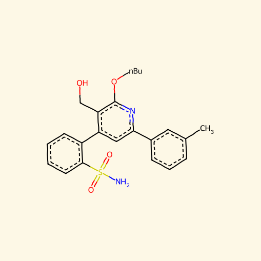 CCCCOc1nc(-c2cccc(C)c2)cc(-c2ccccc2S(N)(=O)=O)c1CO